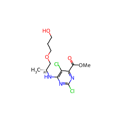 COC(=O)c1nc(Cl)nc(N[C@H](C)COCCCO)c1Cl